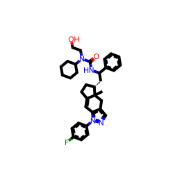 CC12Cc3cnn(-c4ccc(F)cc4)c3C=C1CC[C@@H]2CC(NC(=O)N(CCO)C1CCCCC1)c1ccccc1